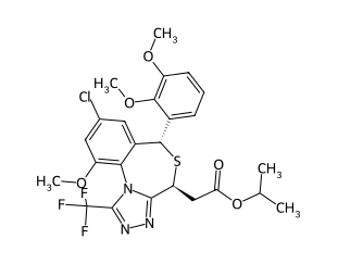 COc1cccc([C@@H]2S[C@@H](CC(=O)OC(C)C)c3nnc(C(F)(F)F)n3-c3c(OC)cc(Cl)cc32)c1OC